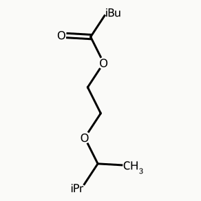 CCC(C)C(=O)OCCOC(C)C(C)C